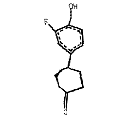 O=C1CCC(c2ccc(O)c(F)c2)CC1